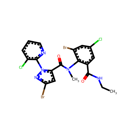 CCNC(=O)c1cc(Cl)cc(Br)c1N(C)C(=O)c1cc(Br)nn1-c1ncccc1Cl